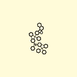 c1ccc(N(c2ccc3c(c2)C(c2ccccc2)(c2ccccc2)c2ccccc2-3)c2ccc3c(c2)C(c2ccccc2)(c2ccc4c(c2)oc2ccc5ccccc5c24)c2ccccc2-3)cc1